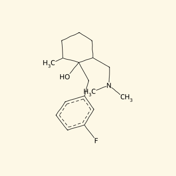 CC1CCCC(CN(C)C)C1(O)Cc1cccc(F)c1